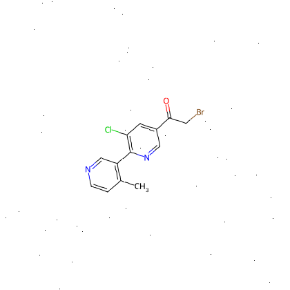 Cc1ccncc1-c1ncc(C(=O)CBr)cc1Cl